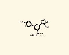 COC(c1cc(-c2ccc(C(F)(F)F)nc2)cc(-c2nn[nH]c2C#N)c1)C(F)(F)F